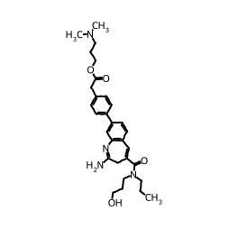 CCCN(CCCO)C(=O)C1=Cc2ccc(-c3ccc(CC(=O)OCCCN(C)C)cc3)cc2N=C(N)C1